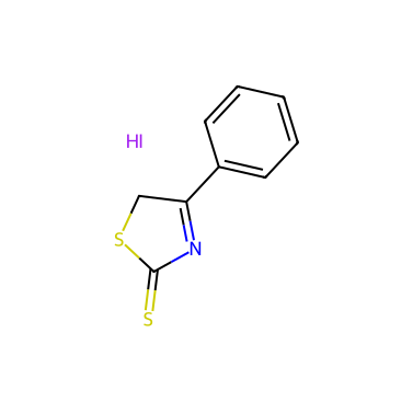 I.S=C1N=C(c2ccccc2)CS1